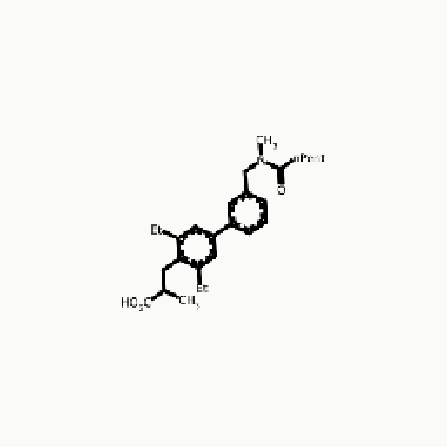 CCCCCC(=O)N(C)Cc1cccc(-c2cc(CC)c(CC(C)C(=O)O)c(CC)c2)c1